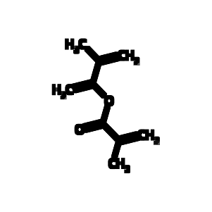 C=C(C)C(=C)OC(=O)C(=C)C